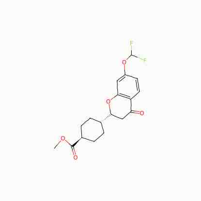 COC(=O)[C@H]1CC[C@H](C2CC(=O)c3ccc(OC(F)F)cc3O2)CC1